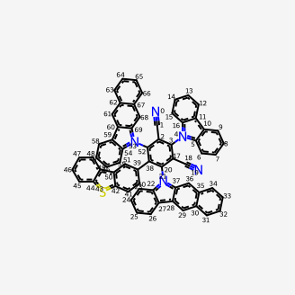 N#Cc1c(-n2c3ccccc3c3ccccc32)c(C#N)c(-n2c3ccccc3c3cc4ccccc4cc32)c(-c2ccc3sc4ccccc4c3c2)c1-n1c2ccccc2c2cc3ccccc3cc21